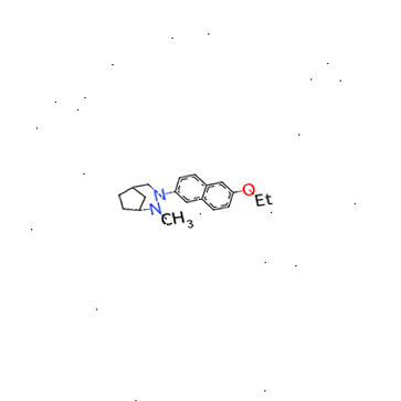 CCOc1ccc2cc(N3CC4CCC(C4)N3C)ccc2c1